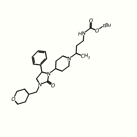 CC(CCNC(=O)OC(C)(C)C)N1CCC(N2C(=O)N(CC3CCOCC3)CC2c2ccccc2)CC1